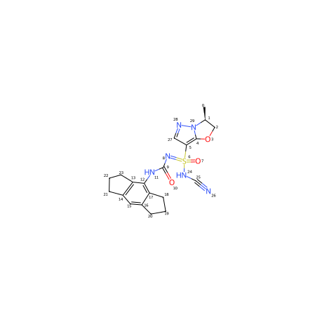 C[C@H]1COc2c(S(=O)(=NC(=O)Nc3c4c(cc5c3CCC5)CCC4)NC#N)cnn21